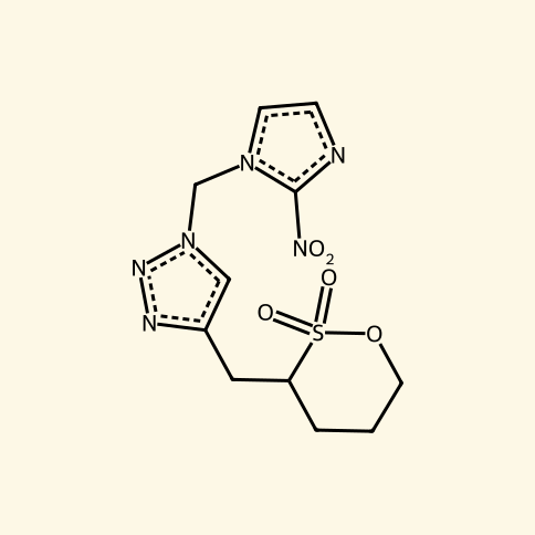 O=[N+]([O-])c1nccn1Cn1cc(CC2CCCOS2(=O)=O)nn1